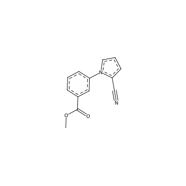 COC(=O)c1cccc(-n2cccc2C#N)c1